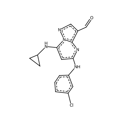 O=Cc1cnn2c(NC3CC3)cc(Nc3cccc(Cl)c3)nc12